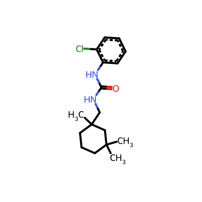 CC1(C)CCCC(C)(CNC(=O)Nc2ccccc2Cl)C1